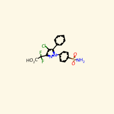 NS(=O)(=O)c1ccc(-n2nc(C(F)(F)C(=O)O)c(Cl)c2-c2ccccc2)cc1